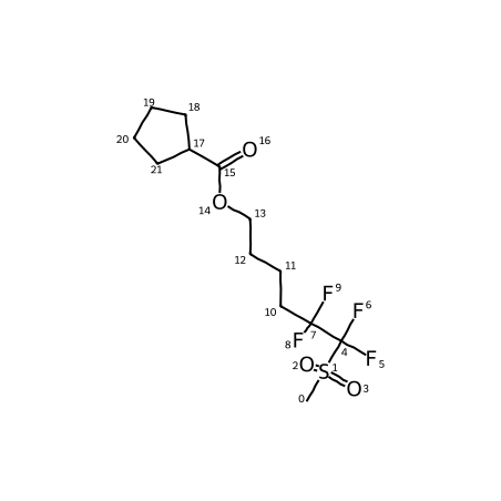 CS(=O)(=O)C(F)(F)C(F)(F)CCCCOC(=O)C1CCCC1